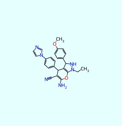 CCN1NC(c2ccc(OC)cc2)C2=C1OC(N)=C(C#N)C2c1ccc(-n2ccnc2)cc1